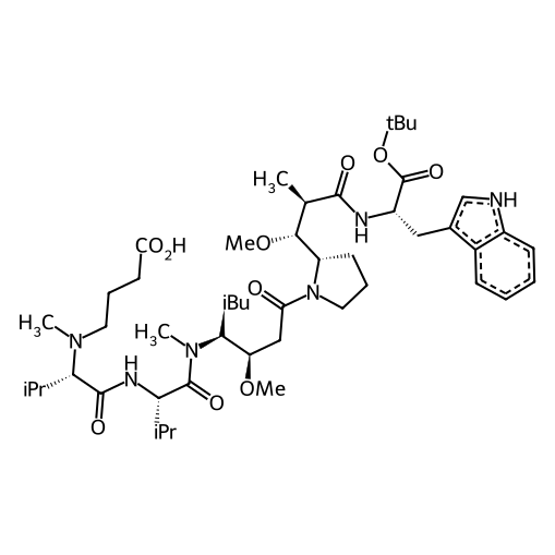 CC[C@H](C)[C@@H]([C@@H](CC(=O)N1CCC[C@H]1[C@H](OC)[C@@H](C)C(=O)N[C@@H](Cc1c[nH]c2ccccc12)C(=O)OC(C)(C)C)OC)N(C)C(=O)[C@@H](NC(=O)[C@H](C(C)C)N(C)CCCC(=O)O)C(C)C